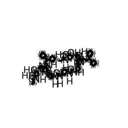 CCC(=O)N[C@H]1C[C@@H](n2cnc3c(NCC(c4ccccc4)c4ccccc4)nc(N4CC[C@@H](NC(=O)Nc5cccc(NC(=O)N[C@@H]6CCN(c7nc(NCC(c8ccccc8)c8ccccc8)c8ncn([C@@H]9C[C@H](NC(=O)CC)[C@@H](O)[C@H]9O)c8n7)C6)c5)C4)nc32)[C@H](O)[C@@H]1O